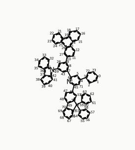 c1ccc(-c2cc(-c3cc(-c4ccc5c6ccccc6c6ccccc6c5c4)cc(-n4c5ccccc5c5ccccc54)c3)nc(-c3ccc4c(c3)C(c3ccccc3)(c3ccccc3)c3ccccc3-4)c2)cc1